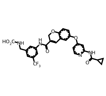 O=C(O)NCc1cc(NC(=O)C2=Cc3cc(Oc4ccnc(NC(=O)C5CC5)c4)ccc3OC2)cc(C(F)(F)F)c1